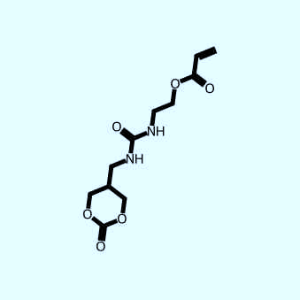 C=CC(=O)OCCNC(=O)NCC1COC(=O)OC1